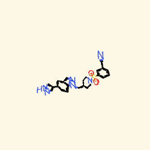 N#Cc1cccc(S(=O)(=O)N2CCC(Cn3ncc4cc(-c5cn[nH]c5)ccc43)CC2)c1